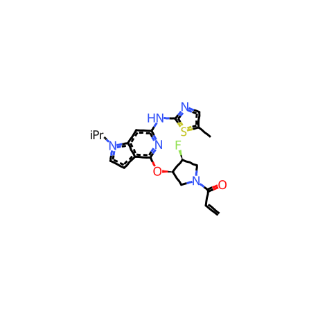 C=CC(=O)N1C[C@H](F)[C@H](Oc2nc(Nc3ncc(C)s3)cc3c2ccn3C(C)C)C1